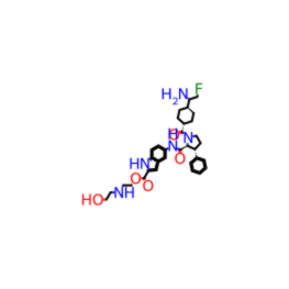 N[C@H](CF)[C@H]1CC[C@H](C(=O)N2CC[C@H](c3ccccc3)[C@H]2C(=O)Nc2ccc3[nH]c(C(=O)OCCNCCO)cc3c2)CC1